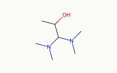 CC(O)C(N(C)C)N(C)C